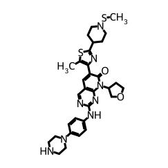 CSN1CCC(c2nc(-c3cc4cnc(Nc5ccc(N6CCNCC6)cc5)nc4n(C4CCOC4)c3=O)c(C)s2)CC1